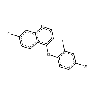 Fc1cc(Br)ccc1Oc1ccnc2cc(Cl)ccc12